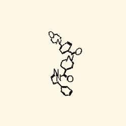 O=C(c1ccc(N2CCOCC2)cc1)N1CCC(C(=O)N2N=CCC2c2ccccc2)CC1